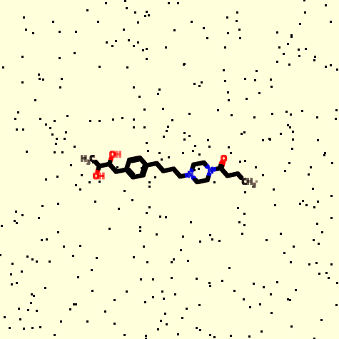 [CH2]CCC(=O)N1CCN(CCCCc2ccc(CC(O)C(C)O)cc2)CC1